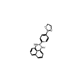 c1cc2c3c(cccc3c1)NB(c1ccc(B3OCCO3)cc1)N2